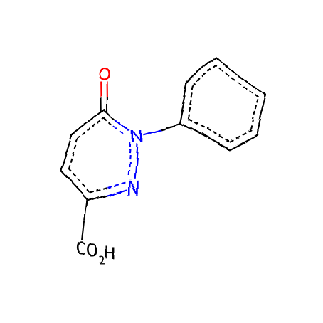 O=C(O)c1ccc(=O)n(-c2ccccc2)n1